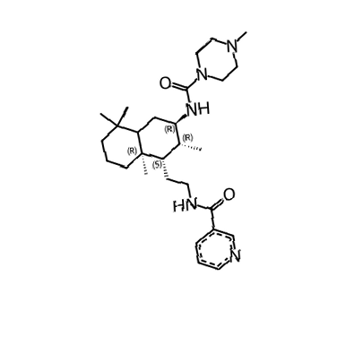 C[C@H]1[C@H](NC(=O)N2CCN(C)CC2)CC2C(C)(C)CCC[C@]2(C)[C@H]1CCNC(=O)c1cccnc1